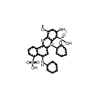 COc1cc(N)c(S(=O)(=O)O)c2c1nc1c3cccc(S(=O)(=O)O)c3c(Nc3ccccc3)cc1[n+]2-c1ccccc1